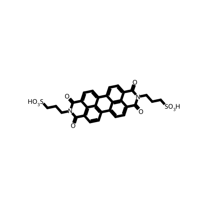 O=C1c2ccc3c4ccc5c6c(ccc(c7ccc(c2c37)C(=O)N1CCCS(=O)(=O)O)c64)C(=O)N(CCCS(=O)(=O)O)C5=O